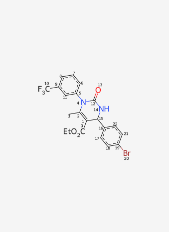 CCOC(=O)C1=C(C)N(c2cccc(C(F)(F)F)c2)C(=O)NC1c1ccc(Br)cc1